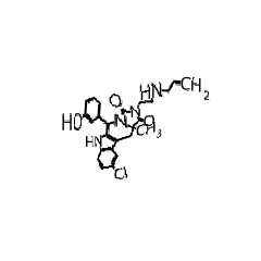 C=CCNCCN1C(=O)N2C(c3cccc(O)c3)c3[nH]c4ccc(Cl)cc4c3CC2(C)C1=O